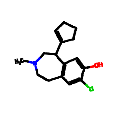 CN1CCc2cc(Cl)c(O)cc2C(C2=CCCC2)C1